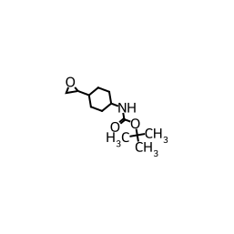 CC(C)(C)OC(=O)NC1CCC(C2CO2)CC1